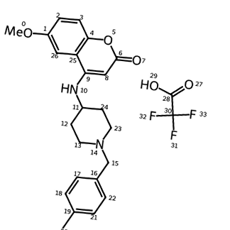 COc1ccc2oc(=O)cc(NC3CCN(Cc4ccc(C)cc4)CC3)c2c1.O=C(O)C(F)(F)F